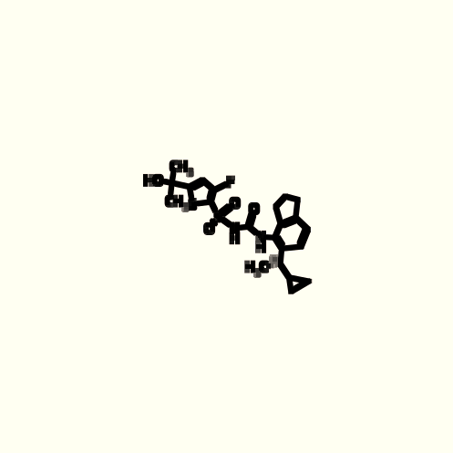 C[C@H](c1ccc2c(c1NC(=O)NS(=O)(=O)c1sc(C(C)(C)O)cc1F)CCC2)C1CC1